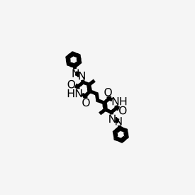 CC1=C(CCC2=C(C)C(N=Nc3ccccc3)C(=O)NC2=O)C(=O)NC(=O)C1N=Nc1ccccc1